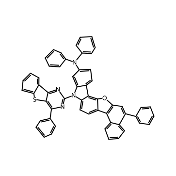 c1ccc(-c2cc3oc4c(ccc5c4c4ccc(N(c6ccccc6)c6ccccc6)cc4n5-c4nc(-c5ccccc5)c5sc6ccccc6c5n4)c3c3ccccc23)cc1